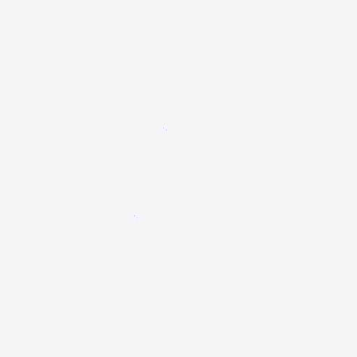 Cn1ccc2c1C(CC1c3ccccc3-c3ccn(C)c31)c1ccccc1-2